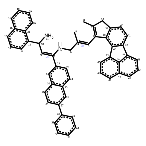 CC1=C(/C=C(\C)CN/C(=C\C(N)c2cccc3ccccc23)c2ccc3cc(-c4ccccc4)ccc3c2)c2c(ccc3c2-c2cccc4cccc-3c24)C1